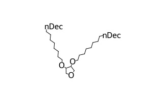 CCCCCCCCCCCCCCCCCCOC1COCC1OCCCCCCCCCCCCCCCCCC